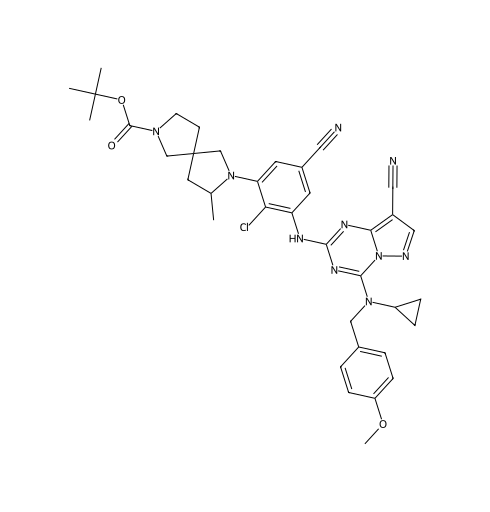 COc1ccc(CN(c2nc(Nc3cc(C#N)cc(N4CC5(CCN(C(=O)OC(C)(C)C)C5)CC4C)c3Cl)nc3c(C#N)cnn23)C2CC2)cc1